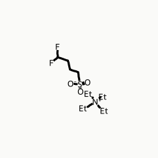 CC[N+](CC)(CC)CC.O=S(=O)([O-])CCCC(F)F